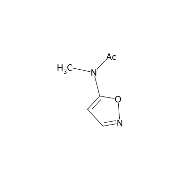 CC(=O)N(C)c1ccno1